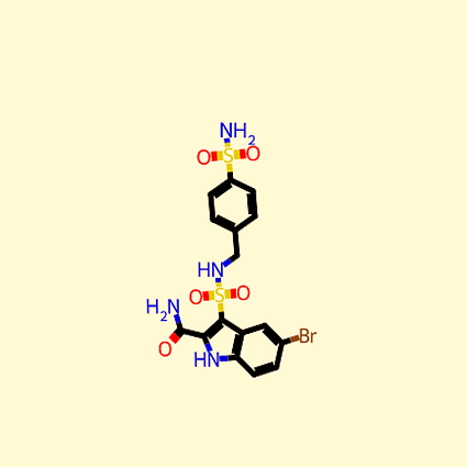 NC(=O)c1[nH]c2ccc(Br)cc2c1S(=O)(=O)NCc1ccc(S(N)(=O)=O)cc1